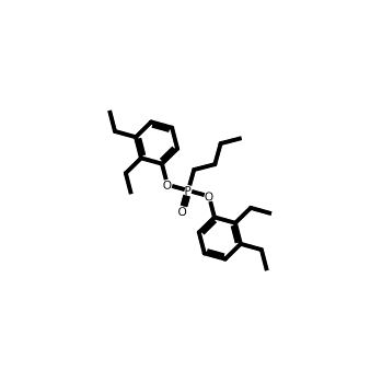 CCCCP(=O)(Oc1cccc(CC)c1CC)Oc1cccc(CC)c1CC